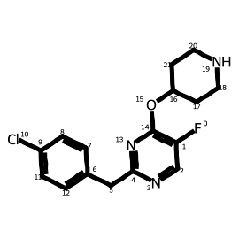 Fc1cnc(Cc2ccc(Cl)cc2)nc1OC1CCNCC1